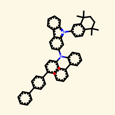 CC1(C)CCC(C)(C)c2cc(-n3c4ccccc4c4ccc(N(c5ccc(-c6ccc(-c7ccccc7)cc6)cc5)c5ccccc5-c5ccccc5)cc43)ccc21